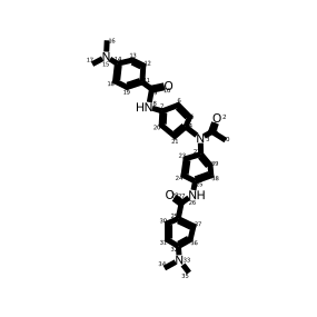 CC(=O)N(c1ccc(NC(=O)c2ccc(N(C)C)cc2)cc1)c1ccc(NC(=O)c2ccc(N(C)C)cc2)cc1